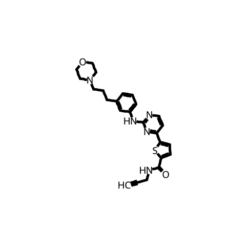 C#CCNC(=O)c1ccc(-c2ccnc(Nc3cccc(CCCN4CCOCC4)c3)n2)s1